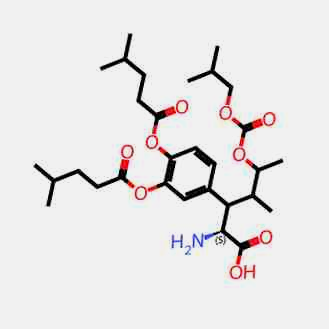 CC(C)CCC(=O)Oc1ccc(C(C(C)C(C)OC(=O)OCC(C)C)[C@H](N)C(=O)O)cc1OC(=O)CCC(C)C